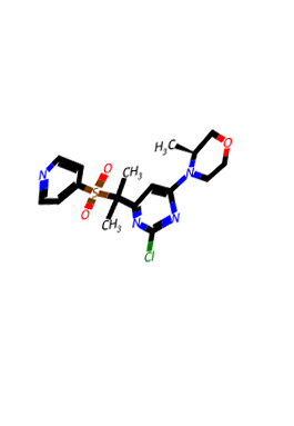 C[C@H]1COCCN1c1cc(C(C)(C)S(=O)(=O)c2ccncc2)nc(Cl)n1